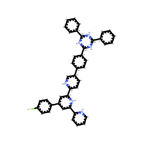 Fc1ccc(-c2cc(-c3ccccn3)nc(-c3ccc(-c4ccc(-c5nc(-c6ccccc6)nc(-c6ccccc6)n5)cc4)cn3)c2)cc1